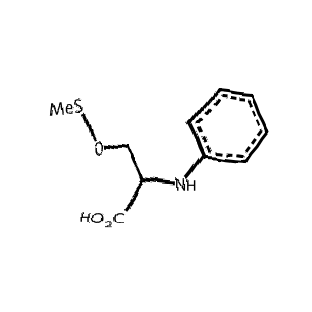 CSOCC(Nc1ccccc1)C(=O)O